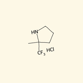 CC1(C(F)(F)F)CCCN1.Cl